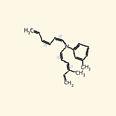 C=C/C=C\C=C/N(/C=C\C=C(\C)C=C)c1cccc(C)c1